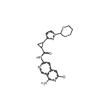 Nc1nc(Cl)cc2cc(NC(=O)C3CC3c3ccn(C4CCCCO4)n3)ncc12